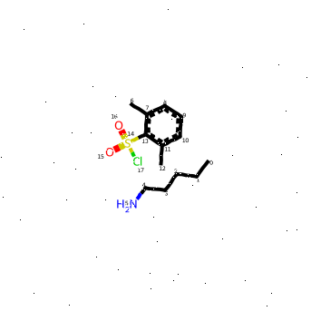 CCCCCN.Cc1cccc(C)c1S(=O)(=O)Cl